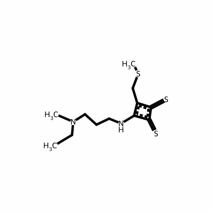 CCN(C)CCCNc1c(CSC)c(=S)c1=S